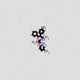 CC(NC(=O)C(C)(C)Oc1ccc(C(F)(F)F)cn1)C(CC1CCCCC1)c1ccc(C#N)cc1